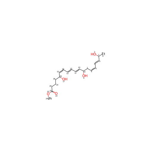 CCC(O)/C=C/C=C\CC(O)/C=C/C=C/C=C\C(O)CCCC(=O)OC(C)C